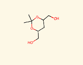 CC1(C)OC(CO)CC(CO)O1